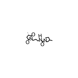 CC1CCN(C(=O)NCCCN2C(=O)C[C@H](C)C2=O)C1